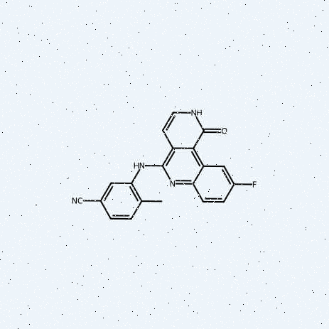 Cc1ccc(C#N)cc1Nc1nc2ccc(F)cc2c2c(=O)[nH]ccc12